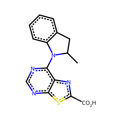 CC1Cc2ccccc2N1c1ncnc2sc(C(=O)O)nc12